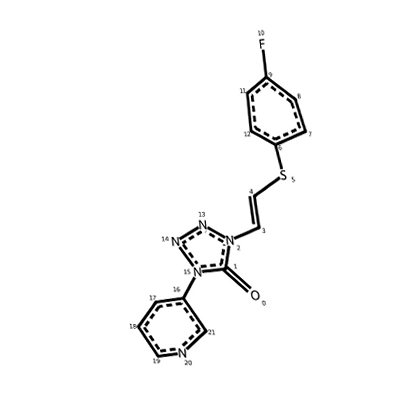 O=c1n(/C=C/Sc2ccc(F)cc2)nnn1-c1cccnc1